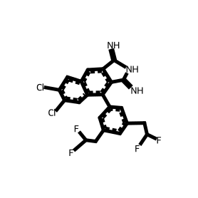 N=C1NC(=N)c2c1cc1cc(Cl)c(Cl)cc1c2-c1cc(CC(F)F)cc(CC(F)F)c1